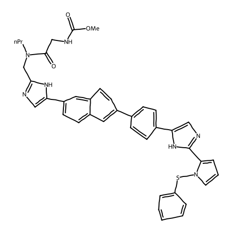 CCCN(Cc1ncc(-c2ccc3cc(-c4ccc(-c5cnc(-c6cccn6Sc6ccccc6)[nH]5)cc4)ccc3c2)[nH]1)C(=O)CNC(=O)OC